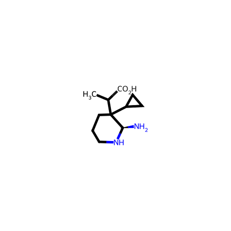 CC(C(=O)O)C1(C2CC2)CCCN[C@@H]1N